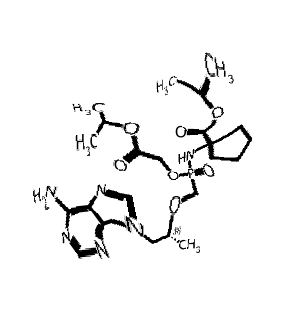 CC(C)OC(=O)COP(=O)(CO[C@H](C)Cn1cnc2c(N)ncnc21)NC1(C(=O)OC(C)C)CCCC1